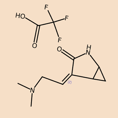 CN(C)C/C=C1\C(=O)NC2CC12.O=C(O)C(F)(F)F